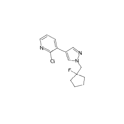 FC1(Cn2cc(-c3cccnc3Cl)cn2)CCCC1